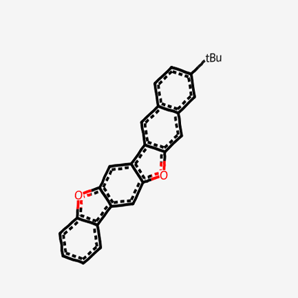 CC(C)(C)c1ccc2cc3c(cc2c1)oc1cc2c(cc13)oc1ccccc12